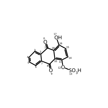 O=C1c2ccccc2C(=O)c2c(OS(=O)(=O)O)ccc(O)c21